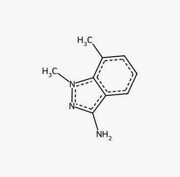 Cc1cccc2c(N)nn(C)c12